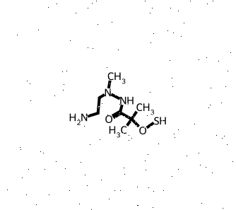 CN(CCN)NC(=O)C(C)(C)OS